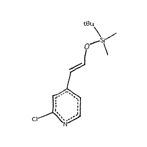 CC(C)(C)[Si](C)(C)OC=Cc1ccnc(Cl)c1